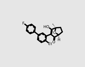 CCc1ccc(-c2ccc(F)cc2)cc1C1=C(O)[C@@]2(C)CC[C@H](O2)C1=O